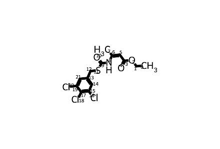 CCOC(=O)/C=C(/C)NC(=O)SCc1cc(Cl)c(Cl)c(Cl)c1